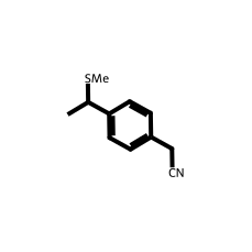 CSC(C)c1ccc(CC#N)cc1